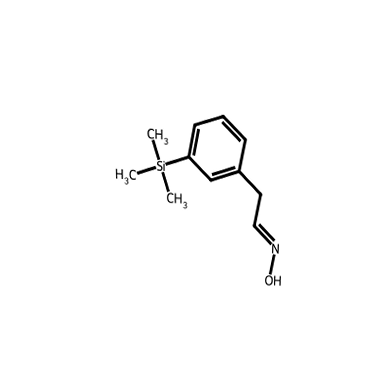 C[Si](C)(C)c1cccc(CC=NO)c1